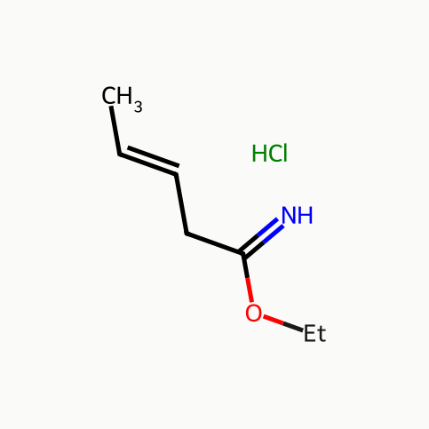 CC=CCC(=N)OCC.Cl